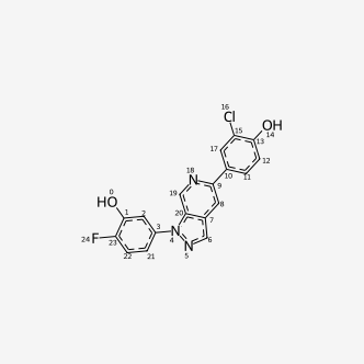 Oc1cc(-n2ncc3cc(-c4ccc(O)c(Cl)c4)ncc32)ccc1F